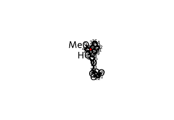 COc1ccc(C(O)(c2ccc(OCCCC(=O)ON3C(=O)CCC3=O)cc2)c2ccc3ccc4cccc5ccc2c3c45)cc1